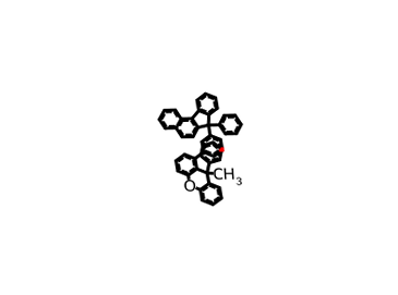 CC1(c2ccccc2)c2ccccc2Oc2cccc(-c3cccc(C4(c5ccccc5)c5ccccc5-c5c4ccc4ccccc54)c3)c21